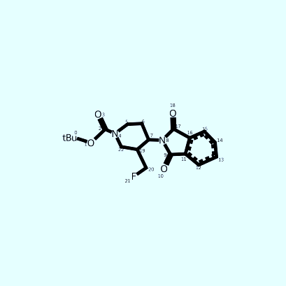 CC(C)(C)OC(=O)N1CCC(N2C(=O)c3ccccc3C2=O)C(CF)C1